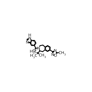 Cc1nc(-c2ccc3c(c2)CC(C(C)(C)C)N(C(=O)c2ccc4[nH]cnc4c2)CC3)no1